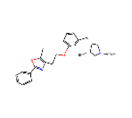 CCOC(=O)N1C[C@@H](Cc2cccc(OCCc3nc(-c4ccccc4)oc3C)c2)[C@@H](CC)C1